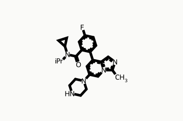 Cc1ncc2c(-c3ccc(F)cc3C(=O)N(C(C)C)C3CC3)cc(N3CCNCC3)cn12